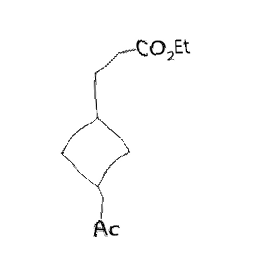 CCOC(=O)CC1CC(C(C)=O)C1